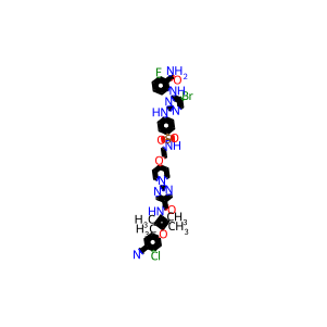 CC1(C)[C@H](NC(=O)c2cnc(N3CCC(OCCNS(=O)(=O)c4ccc(Nc5ncc(Br)c(Nc6cccc(F)c6C(N)=O)n5)cc4)CC3)nc2)C(C)(C)[C@H]1Oc1ccc(C#N)c(Cl)c1